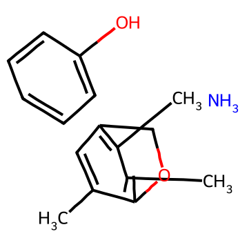 Cc1cc2c(C)c(C)c1OC2.N.Oc1ccccc1